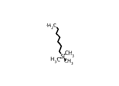 [CH2]CCCCCC[Si](C)(C)C